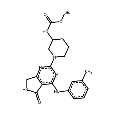 Cc1cccc(Nc2nc(N3CCCC(NC(=O)OC(C)(C)C)C3)nc3c2C(=O)NC3)c1